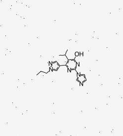 CCCn1cc(-c2nc(-n3ccnc3)nc(O)c2C(C)C)cn1